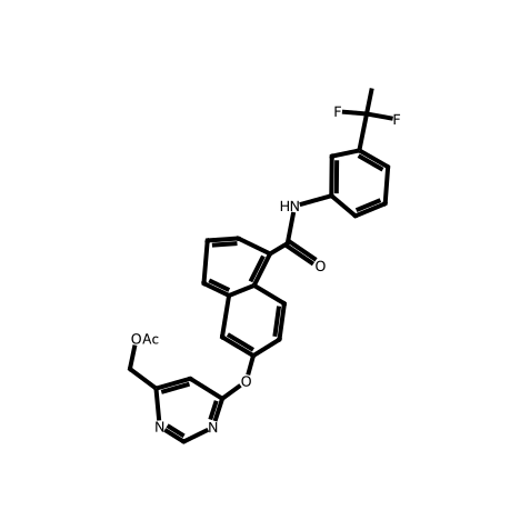 CC(=O)OCc1cc(Oc2ccc3c(C(=O)Nc4cccc(C(C)(F)F)c4)cccc3c2)ncn1